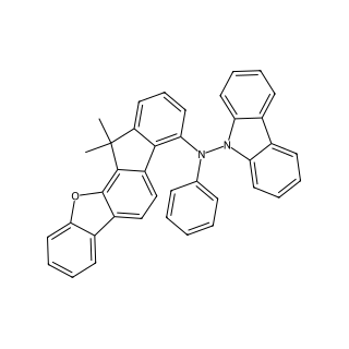 CC1(C)c2cccc(N(c3ccccc3)n3c4ccccc4c4ccccc43)c2-c2ccc3c(oc4ccccc43)c21